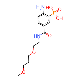 COCCCOCCNC(=O)c1ccc(N)c(P(=O)(O)O)c1